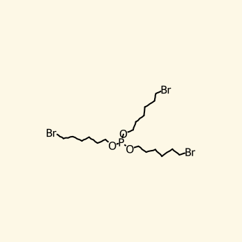 BrCCCCCCOP(OCCCCCCBr)OCCCCCCBr